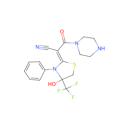 N#CC(C(=O)N1CCNCC1)=C1SCC(O)(C(F)(F)F)N1c1ccccc1